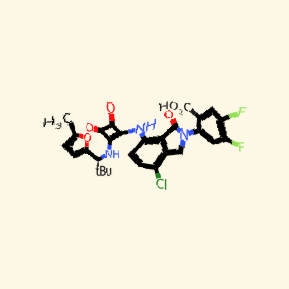 Cc1ccc([C@H](Nc2c(Nc3ccc(Cl)c4c3C(=O)N(c3cc(F)c(F)cc3C(=O)O)C4)c(=O)c2=O)C(C)(C)C)o1